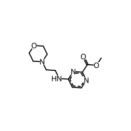 COC(=O)c1nccc(NCCN2CCOCC2)n1